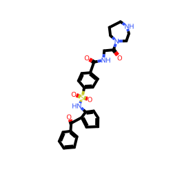 O=C(NCC(=O)N1CCCNCC1)c1ccc(S(=O)(=O)Nc2ccccc2C(=O)c2ccccc2)cc1